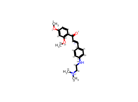 COc1ccc(C(=O)/C=C/c2ccc(NCCN(C)C)cc2)c(OC)c1